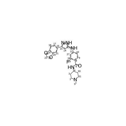 CN1CCC(NC(=O)c2ccc(Nc3cc(-c4ccc5c(c4)OCO5)n[nH]3)cc2F)CC1